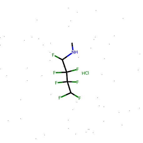 CNC(F)C(F)(F)C(F)(F)C(F)F.Cl